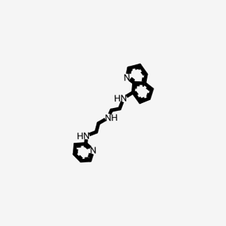 c1ccc(NCCNCCNc2cccc3cccnc23)nc1